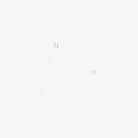 Cc1cnsc1[C]=O